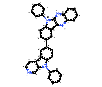 c1ccc(-n2c3ccc(-c4ccc5c(c4)c4nc6ccccc6nc4n5-c4ccccc4)cc3c3ccncc32)cc1